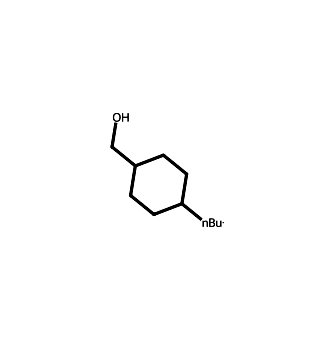 CCC[CH]C1CCC(CO)CC1